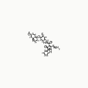 COc1ccc2c(Oc3ccc(CNC(=O)c4c(CN)[nH]n(-c5ccccc5)c4=O)cc3F)ccnc2c1